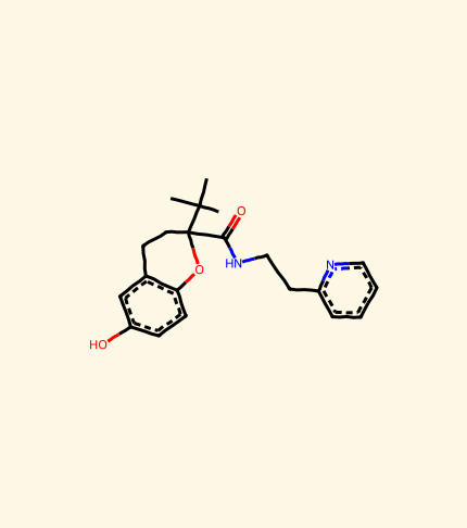 CC(C)(C)C1(C(=O)NCCc2ccccn2)CCc2cc(O)ccc2O1